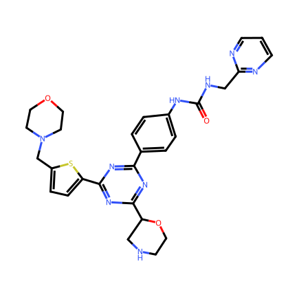 O=C(NCc1ncccn1)Nc1ccc(-c2nc(-c3ccc(CN4CCOCC4)s3)nc(C3CNCCO3)n2)cc1